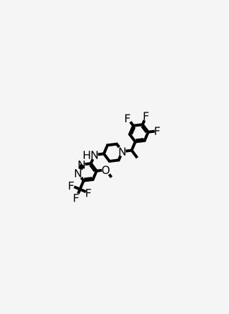 COc1cc(C(F)(F)F)nnc1NC1CCN(C(C)c2cc(F)c(F)c(F)c2)CC1